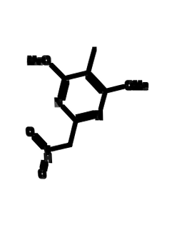 COc1nc(C[SH](=O)=O)nc(OC)c1C